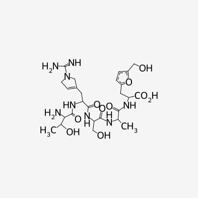 CC(NC(=O)C(CO)NC(=O)C(CC1=CCN(C(=N)N)C1)NC(=O)C(N)C(C)O)C(=O)NC(Cc1ccc(CO)o1)C(=O)O